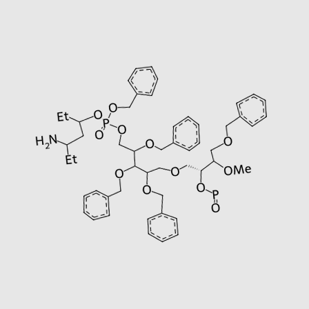 CCC(N)CC(CC)OP(=O)(OCc1ccccc1)OCC(OCc1ccccc1)C(OCc1ccccc1)C(COC[C@@H](OP=O)C(COCc1ccccc1)OC)OCc1ccccc1